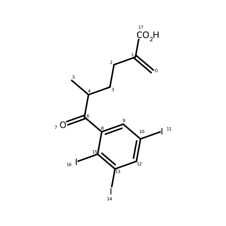 C=C(CCC(C)C(=O)c1cc(I)cc(I)c1I)C(=O)O